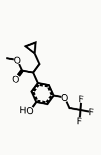 COC(=O)C(CC1CC1)c1cc(O)cc(OCC(F)(F)F)c1